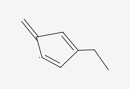 C=C1[C]=CC(CC)=C1